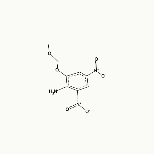 COCOc1cc([N+](=O)[O-])cc([N+](=O)[O-])c1N